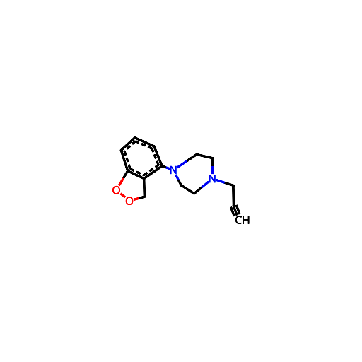 C#CCN1CCN(c2cccc3c2COO3)CC1